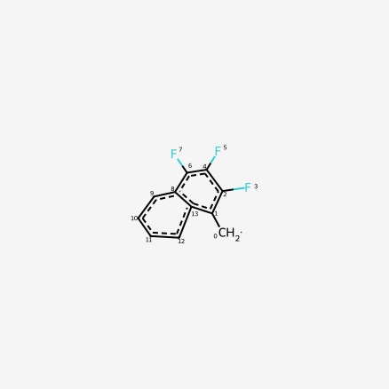 [CH2]c1c(F)c(F)c(F)c2ccccc12